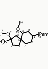 BC1(OCl)CCC2(CCC(C(C)CCC)CC2OI)C1